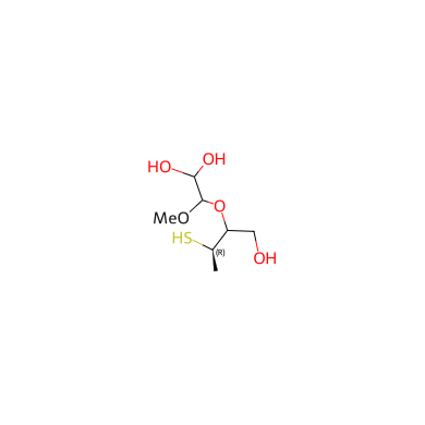 COC(OC(CO)[C@@H](C)S)C(O)O